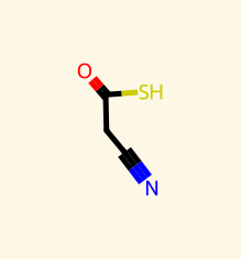 N#CCC(=O)S